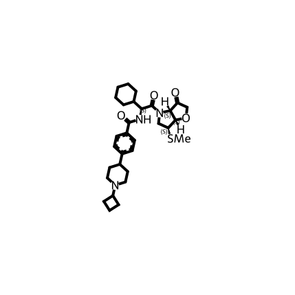 CS[C@H]1CN(C(=O)[C@@H](NC(=O)c2ccc(C3CCN(C4CCC4)CC3)cc2)C2CCCCC2)[C@@H]2C(=O)CO[C@H]12